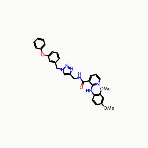 COc1ccc(Nc2ncccc2C(=O)NCc2cn(Cc3cccc(Oc4ccccc4)c3)nn2)c(OC)c1